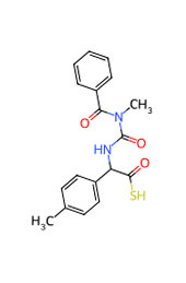 Cc1ccc(C(NC(=O)N(C)C(=O)c2ccccc2)C(=O)S)cc1